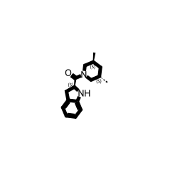 C[C@H]1C[C@H](C)CN(C(=O)[C@@H]2Cc3ccccc3N2)C1